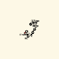 CNC(=O)N[C@@H](C(=O)N1C[C@H](O)C[C@H]1c1ncc(-c2ccc(-c3ccc(-c4cnc([C@@H]5C[C@@H](O)CN5C(=O)[C@H](NC(=O)NC)c5ccccc5)[nH]4)cc3)cc2)[nH]1)c1ccccc1